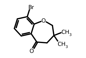 CC1(C)COc2c(Br)cccc2C(=O)C1